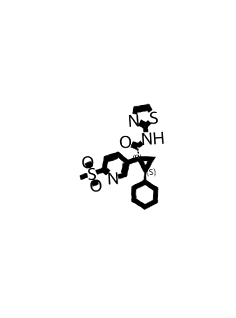 CS(=O)(=O)c1ccc([C@@]2(C(=O)Nc3nccs3)C[C@H]2C2CCCCC2)cn1